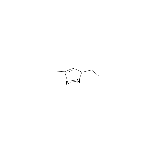 CCC1C=C(C)N=N1